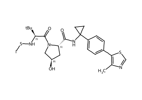 Cc1ncsc1-c1ccc(C2(NC(=O)[C@@H]3C[C@@H](O)CN3C(=O)[C@@H](NSI)C(C)(C)C)CC2)cc1